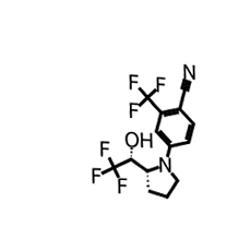 N#Cc1ccc(N2CCC[C@@H]2[C@@H](O)C(F)(F)F)cc1C(F)(F)F